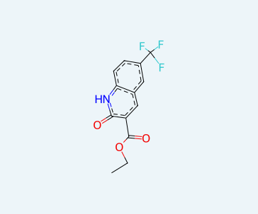 CCOC(=O)c1cc2cc(C(F)(F)F)ccc2[nH]c1=O